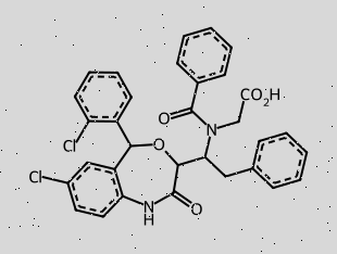 O=C(O)CN(C(=O)c1ccccc1)C(Cc1ccccc1)C1OC(c2ccccc2Cl)c2cc(Cl)ccc2NC1=O